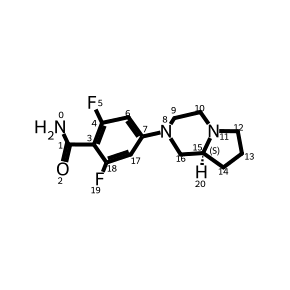 NC(=O)c1c(F)cc(N2CCN3CCC[C@H]3C2)cc1F